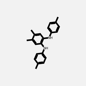 Cc1ccc(Nc2cc(C)c(C)cc2Nc2ccc(C)cc2)cc1